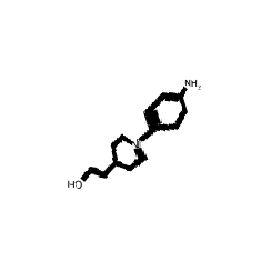 Nc1ccc(N2CCC(CCO)CC2)cc1